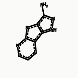 Nc1n[nH]c2c1sc1ncccc12